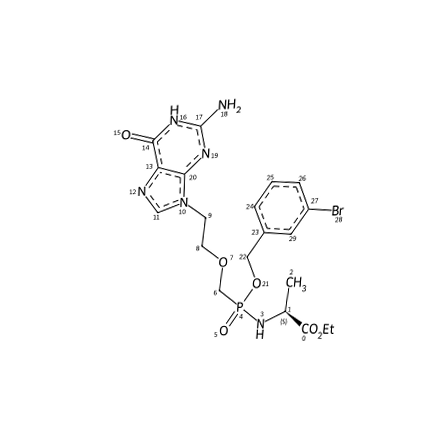 CCOC(=O)[C@H](C)NP(=O)(COCCn1cnc2c(=O)[nH]c(N)nc21)OCc1cccc(Br)c1